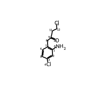 Nc1cc(Cl)ccc1CC(=O)CCCl